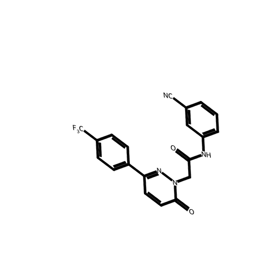 N#Cc1cccc(NC(=O)Cn2nc(-c3ccc(C(F)(F)F)cc3)ccc2=O)c1